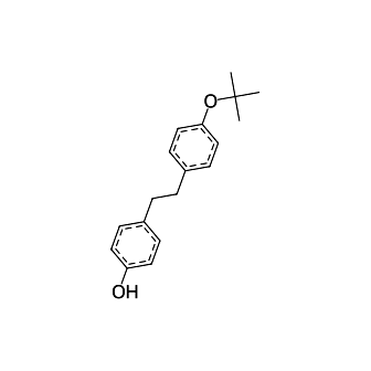 CC(C)(C)Oc1ccc(CCc2ccc(O)cc2)cc1